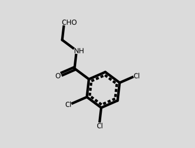 O=CCNC(=O)c1cc(Cl)cc(Cl)c1Cl